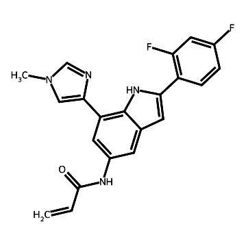 C=CC(=O)Nc1cc(-c2cn(C)cn2)c2[nH]c(-c3ccc(F)cc3F)cc2c1